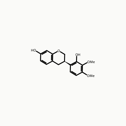 COc1ccc([C@@H]2COc3cc(O)ccc3C2)c(O)c1OC